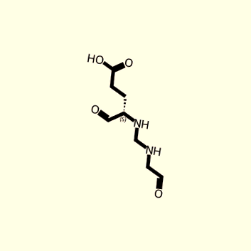 O=CCNCN[C@H](C=O)CCC(=O)O